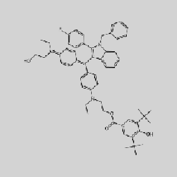 CCN(CCOC(=O)c1cc(C(C)(C)C)c(O)c(C(C)(C)C)c1)c1ccc(C(=C2C=CC(=[N+](CC)CCO)C=C2)c2c(-c3ccc(F)cc3)n(Cc3ccccc3)c3ccccc23)cc1